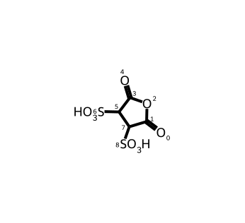 O=C1OC(=O)C(S(=O)(=O)O)C1S(=O)(=O)O